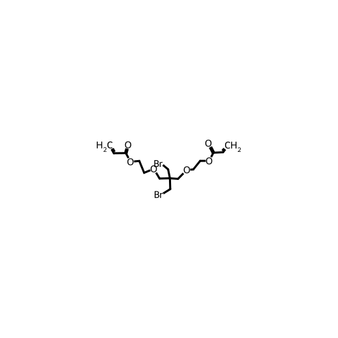 C=CC(=O)OCCOCC(CBr)(CBr)COCCOC(=O)C=C